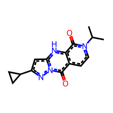 CC(C)n1ccc2c(=O)n3nc(C4CC4)cc3[nH]c2c1=O